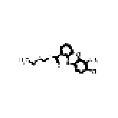 CCOCOC(=O)c1ccccc1Nc1ccc(Cl)c(C)c1Cl